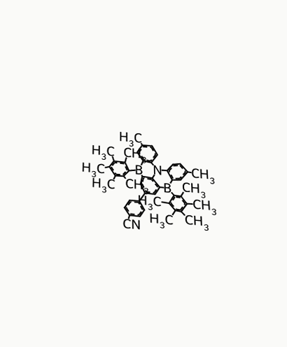 Cc1ccc2c(c1)B(c1c(C)c(C)c(C)c(C)c1C)c1cc(-c3ccc(C#N)cc3)cc3c1N2c1ccc(C)cc1B3c1c(C)c(C)c(C)c(C)c1C